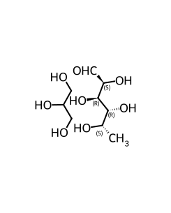 C[C@H](O)[C@@H](O)[C@@H](O)[C@H](O)C=O.OCC(O)CO